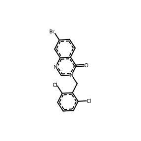 O=c1c2ccc(Br)cc2ncn1Cc1c(Cl)cccc1Cl